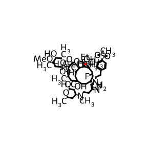 C=C1CC[C@@H]2[C@@H](C)C(=N)[C@H](C)C[C@@](C)(CC1)[C@H](O[C@@H]1O[C@H](C)C[C@H](N(C)CCc3cn([C@H](CF)Cc4ccc(S(C)(=O)=O)cc4)nn3)[C@H]1O)[C@@H](C)[C@H](O[C@H]1C[C@@](C)(OC)[C@@H](O)[C@H](C)O1)[C@@H](C)C(=O)O[C@H](CC)[C@@]2(C)O